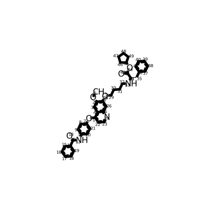 COc1cc2c(Oc3ccc(NC(=O)c4ccccc4)cc3)ccnc2cc1OCCCCN[C@@H](Cc1ccccc1)C(=O)OC1CCCC1